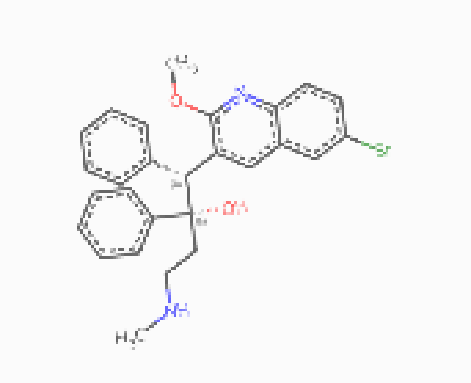 CNCC[C@@](O)(c1ccccc1)[C@H](c1ccccc1)c1cc2cc(Br)ccc2nc1OC